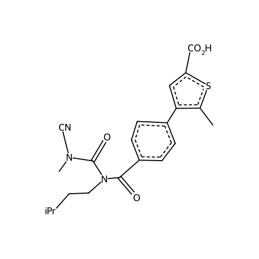 Cc1sc(C(=O)O)cc1-c1ccc(C(=O)N(CCC(C)C)C(=O)N(C)C#N)cc1